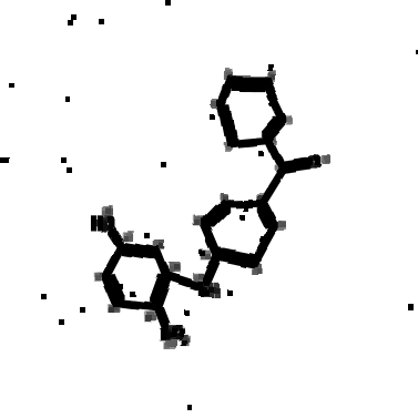 O=C(c1ccccc1)c1ccc(Nc2cc(O)ccc2[N+](=O)[O-])cc1